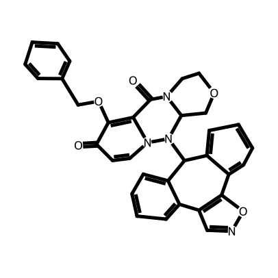 O=C1c2c(OCc3ccccc3)c(=O)ccn2N(C2c3ccccc3-c3cnoc3-c3ccccc32)C2COCCN12